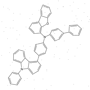 c1ccc(-c2ccc(N(c3ccc(-c4cccc5c4c4ccccc4n5-c4ccccc4)cc3)c3cccc4c3oc3ccccc34)cc2)cc1